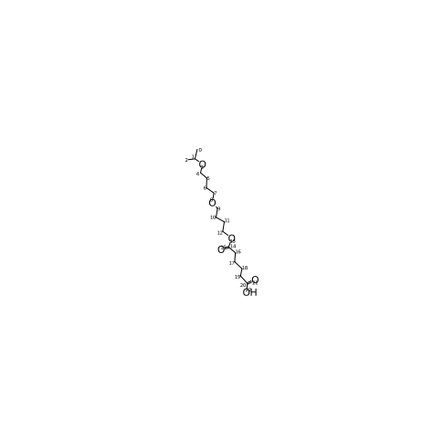 CC(C)OCCCCOCCCCOC(=O)CCCCC(=O)O